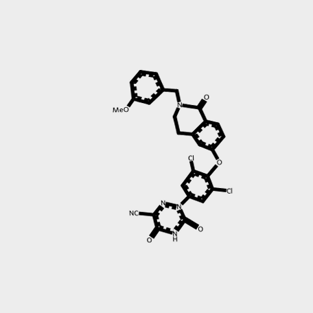 COc1cccc(CN2CCc3cc(Oc4c(Cl)cc(-n5nc(C#N)c(=O)[nH]c5=O)cc4Cl)ccc3C2=O)c1